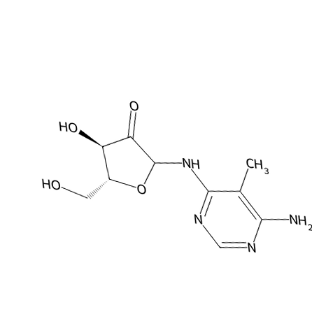 Cc1c(N)ncnc1NC1O[C@H](CO)[C@@H](O)C1=O